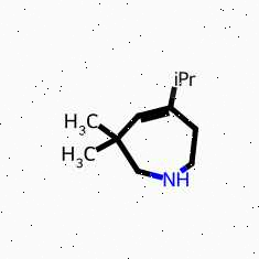 CC(C)C1=CC(C)(C)CNCC1